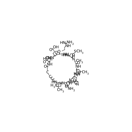 CSCC[C@@H]1NN[C@@H](CCCNC(=N)N)C(=O)C(=O)[C@H](CCC(=O)O)NC(=O)[C@H]([C@@H](C)O)NC(=O)CCCCCCNC(=O)[C@H](CC(C)C)NC(=O)[C@H](CC(N)=O)NC(=O)[C@H](Cc2cnc[nH]2)NC(=O)[C@H](CC(C)C)NC(=O)C(C)NC1=O